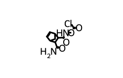 NC(=O)C1C2C=CC(C2)C1C(=O)NOC(=O)Cl